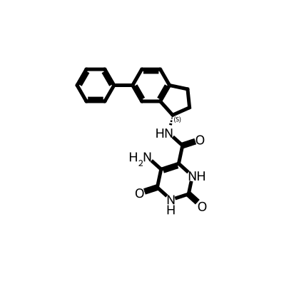 Nc1c(C(=O)N[C@H]2CCc3ccc(-c4ccccc4)cc32)[nH]c(=O)[nH]c1=O